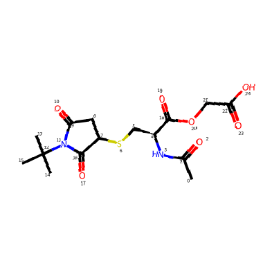 CC(=O)N[C@@H](CSC1CC(=O)N(C(C)(C)C)C1=O)C(=O)OCC(=O)O